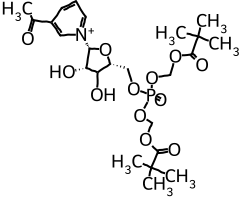 CC(=O)c1ccc[n+]([C@@H]2O[C@H](COP(=O)(OCOC(=O)C(C)(C)C)OCOC(=O)C(C)(C)C)C(O)[C@@H]2O)c1